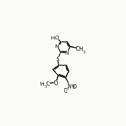 COc1cc(Sc2nc(C)cc(O)n2)ccc1[N+](=O)[O-]